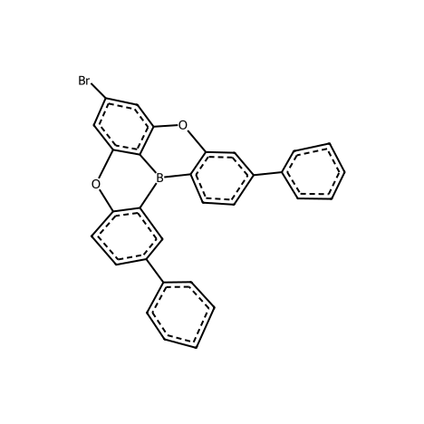 Brc1cc2c3c(c1)Oc1ccc(-c4ccccc4)cc1B3c1ccc(-c3ccccc3)cc1O2